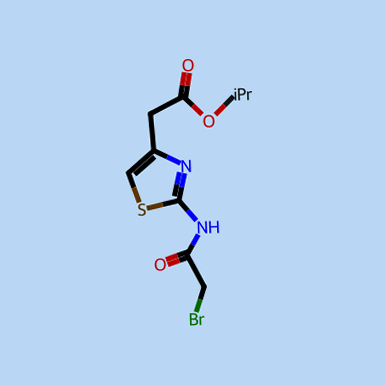 CC(C)OC(=O)Cc1csc(NC(=O)CBr)n1